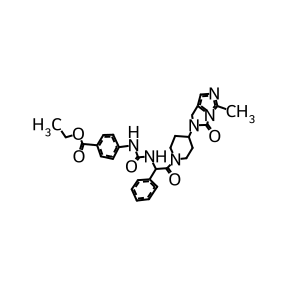 CCOC(=O)c1ccc(NC(=O)NC(C(=O)N2CCC(N3Cc4cnc(C)n4C3=O)CC2)c2ccccc2)cc1